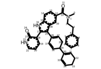 CN(CCc1ccccc1)C(=O)c1ccc2[nH]c(-c3ccc[nH]c3=O)c(C3=CCC(C4=CCCC=C4)C=C3)c2c1